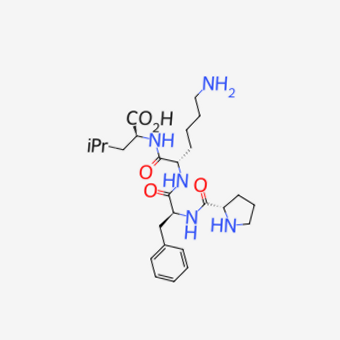 CC(C)C[C@H](NC(=O)[C@H](CCCCN)NC(=O)[C@H](Cc1ccccc1)NC(=O)[C@@H]1CCCN1)C(=O)O